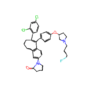 O=C1CCCN1c1ccc2c(c1)CCCC(c1ccc(Cl)cc1Cl)=C2c1ccc(OC2CCN(CCCF)C2)cc1